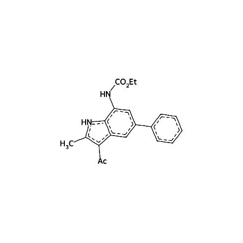 CCOC(=O)Nc1cc(-c2ccccc2)cc2c(C(C)=O)c(C)[nH]c12